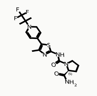 Cc1nc(NC(=O)N2CCC[C@H]2C(N)=O)sc1C1=CCN(C(C)(C)C(F)(F)F)C=C1